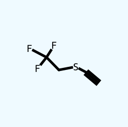 C#CSCC(F)(F)F